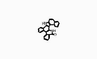 O=c1[nH]c2c(c3ccccc13)c1ccccc1c1[nH]c3ccc4ccccc4c3c12